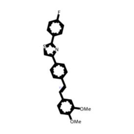 COc1ccc(/C=C/c2ccc(-c3csc(-c4ccc(F)cc4)n3)cc2)cc1OC